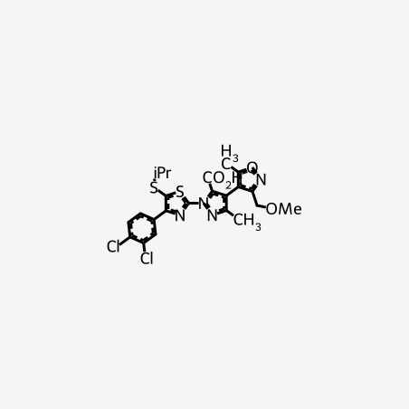 COCc1noc(C)c1-c1c(C)nn(-c2nc(-c3ccc(Cl)c(Cl)c3)c(SC(C)C)s2)c1C(=O)O